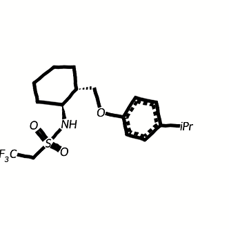 CC(C)c1ccc(OC[C@H]2CCCC[C@@H]2NS(=O)(=O)CC(F)(F)F)cc1